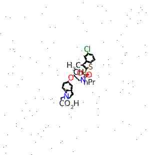 CCCN(CC(C)Oc1ccc2c(ccn2CC(=O)O)c1)S(=O)(=O)c1sc2ccc(Cl)cc2c1C